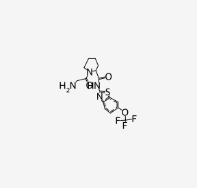 NCC(=O)N1CCCCC1C(=O)Nc1nc2ccc(OC(F)(F)F)cc2s1